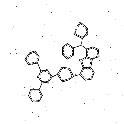 c1ccc(-c2nc(-c3ccccc3)nc(-c3ccc(-c4cccc5c4oc4c(N(c6ccccc6)c6ccccc6)cccc45)cc3)n2)cc1